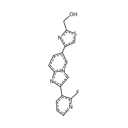 OCc1nc(-c2ccc3nc(-c4cccnc4F)cn3c2)cs1